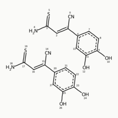 N#CC(=CC(N)=S)c1ccc(O)c(O)c1.N#CC(=CC(N)=S)c1ccc(O)c(O)c1